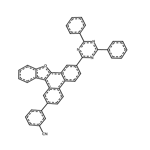 N#Cc1cccc(-c2ccc3c4ccc(-c5nc(-c6ccccc6)nc(-c6ccccc6)n5)cc4c4oc5ccccc5c4c3c2)c1